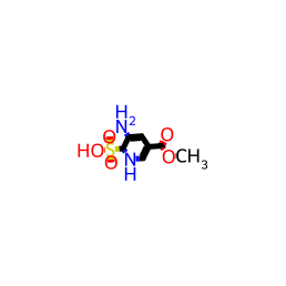 COC(=O)C1=CNC(S(=O)(=O)O)C(N)=C1